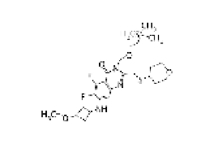 CCOC1CC(Nc2cc3nc(CSC4CCOCC4)n(COCC[Si](C)(C)C)c(=O)c3c(F)c2F)C1